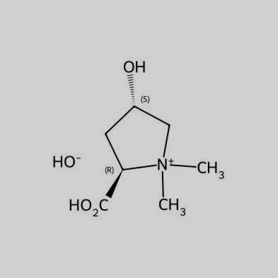 C[N+]1(C)C[C@@H](O)C[C@@H]1C(=O)O.[OH-]